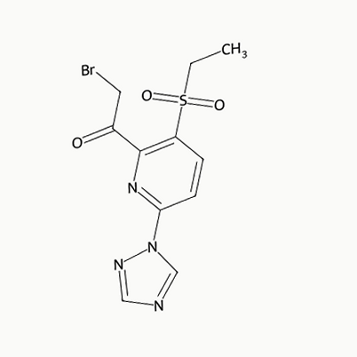 CCS(=O)(=O)c1ccc(-n2cncn2)nc1C(=O)CBr